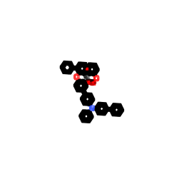 c1ccc(-c2ccc(N(c3ccccc3)c3ccc(-c4ccc5c(c4)[Si]4(c6ccccc6Oc6ccccc64)c4cccc(C6CCCCC6)c4O5)cc3)cc2)cc1